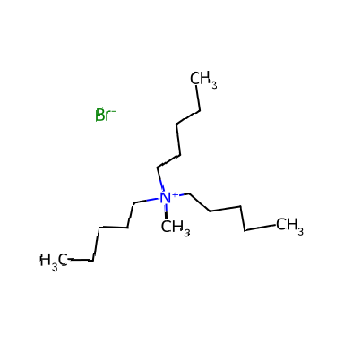 CCCCC[N+](C)(CCCCC)CCCCC.[Br-]